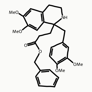 COc1ccc(CC2(CCC(=O)OCc3ccccc3)NCCc3cc(OC)c(OC)cc32)cc1OC